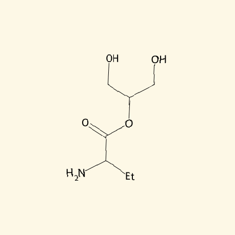 CCC(N)C(=O)OC(CO)CO